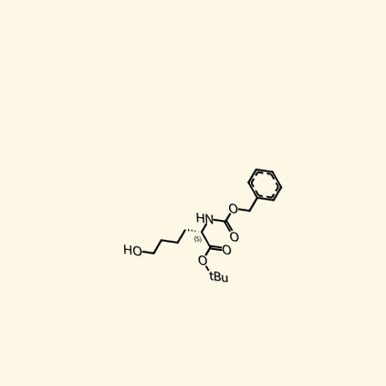 CC(C)(C)OC(=O)[C@H](CCCCO)NC(=O)OCc1ccccc1